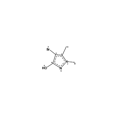 Cc1c(Br)c(O)nn1C